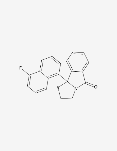 O=C1c2ccccc2C2(c3cccc4c(F)cccc34)SCCN12